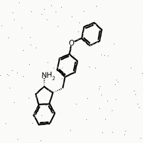 N[C@H]1Cc2ccccc2[C@H]1Cc1ccc(Oc2ccccc2)cc1